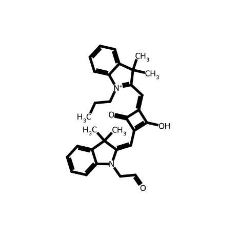 CCC[N+]1=C(C=C2C(=O)C(C=C3N(CC=O)c4ccccc4C3(C)C)=C2O)C(C)(C)c2ccccc21